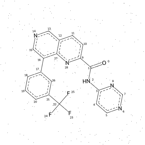 O=C(Nc1ccncn1)c1ccc2cncc(-c3cccc(C(F)(F)F)c3)c2n1